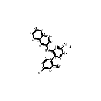 Nc1ncc(-c2ccc(F)cc2Br)c(Nc2cnc3ccccc3c2)n1